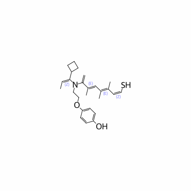 C=C(/C(C)=C/C(C)=C(C)/C=C\S)N(CCOc1ccc(O)cc1)/C(=C\C)C1CCC1